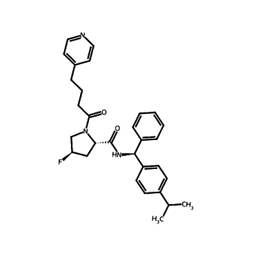 CC(C)c1ccc([C@@H](NC(=O)[C@@H]2C[C@@H](F)CN2C(=O)CCCc2ccncc2)c2ccccc2)cc1